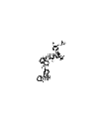 C[C@H]1CCCCN1c1nnc2ccc(O[C@@H]3CC[C@H](NC(=O)Nc4cc(C(C)(C)C)nn4-c4ccc(F)c(CCN(C)C)c4)c4ccccc43)cn12